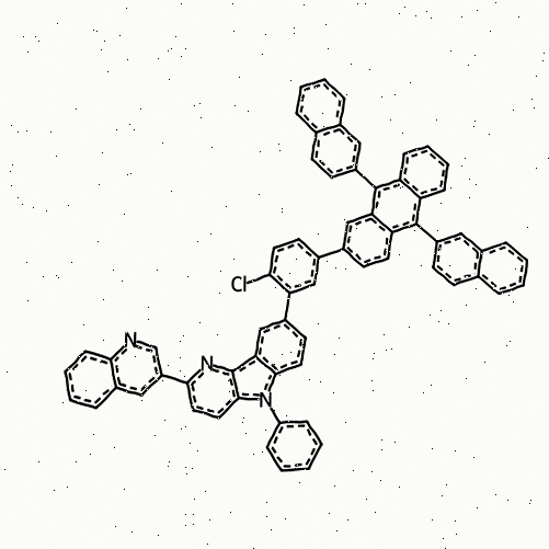 Clc1ccc(-c2ccc3c(-c4ccc5ccccc5c4)c4ccccc4c(-c4ccc5ccccc5c4)c3c2)cc1-c1ccc2c(c1)c1nc(-c3cnc4ccccc4c3)ccc1n2-c1ccccc1